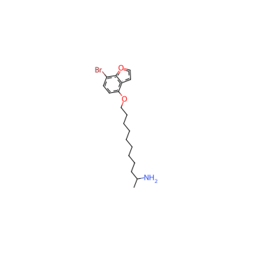 CC(N)CCCCCCCCCOc1ccc(Br)c2occc12